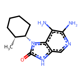 C[C@@H]1CCCC[C@@H]1n1c(=O)[nH]c2cnc(N)c(N)c21